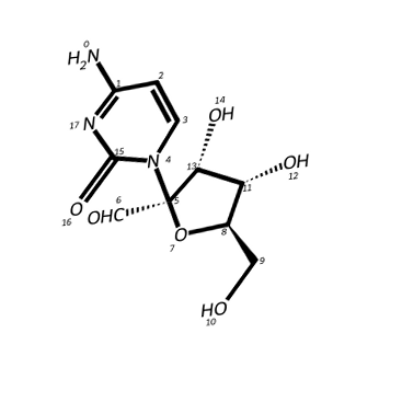 Nc1ccn([C@]2(C=O)O[C@H](CO)[C@@H](O)[C@H]2O)c(=O)n1